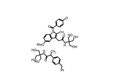 CC(C)Cc1ccc(C(C)C(=O)NC(CO)(CO)CO)cc1.COc1ccc2c(c1)c(CC(=O)NC(CO)(CO)CO)c(C)n2C(=O)c1ccc(Cl)cc1